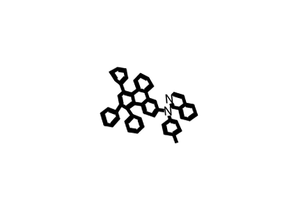 Cc1ccc(N(c2ccc3c(c2)c2ccccc2c2c(-c4ccccc4)cc(-c4ccccc4)c(-c4ccccc4)c32)c2nccc3ccccc23)cc1